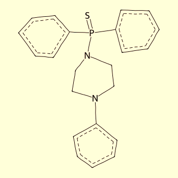 S=P(c1ccccc1)(c1ccccc1)N1CCN(c2ccccc2)CC1